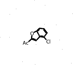 CC(=O)c1cc2c(Cl)cccc2o1